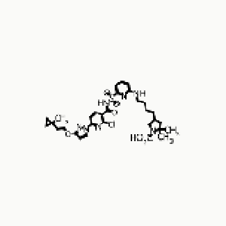 CC1(C)CC(CCCCNc2cccc(S(=O)(=O)NC(=O)c3ccc(-n4ccc(OCCC5(C(F)(F)F)CC5)n4)nc3Cl)n2)CN1C(=O)O